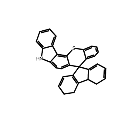 C1=CCC2C(=C1)C1(C3=C2CCC=C3)c2ccccc2Sc2c1ccc1[nH]c3ccccc3c21